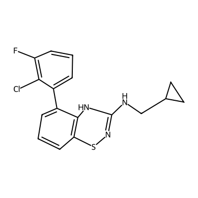 Fc1cccc(-c2cccc3c2NC(NCC2CC2)=NS3)c1Cl